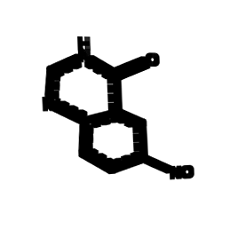 O=Nc1ccc2nc[nH]c(=O)c2c1